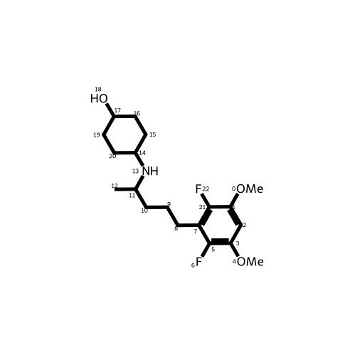 COc1cc(OC)c(F)c(CCCC(C)NC2CCC(O)CC2)c1F